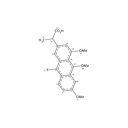 COc1ccc2c(F)c3cc(C(C)C(=O)O)cc(OC)c3c(OC)c2c1